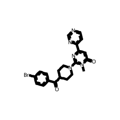 Cn1c(N2CCC(C(=O)c3ccc(Br)cc3)CC2)nc(-c2ccncn2)cc1=O